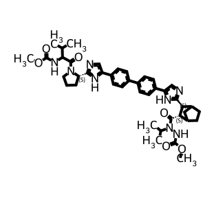 COC(=O)NC(C(=O)N1CCC[C@H]1c1ncc(-c2ccc(-c3ccc(-c4cnc([C@H]5C6CCC(C6)[C@@H]5C(=O)N(NC(=O)OC)C(C)C)[nH]4)cc3)cc2)[nH]1)C(C)C